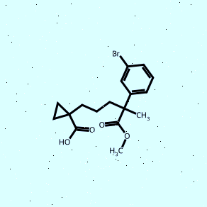 COC(=O)C(C)(CCCC1(C(=O)O)CC1)c1cccc(Br)c1